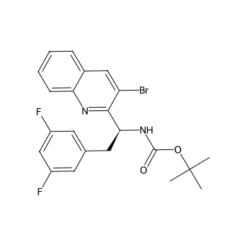 CC(C)(C)OC(=O)N[C@@H](Cc1cc(F)cc(F)c1)c1nc2ccccc2cc1Br